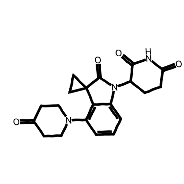 O=C1CCN(c2cccc3c2C2(CC2)C(=O)N3C2CCC(=O)NC2=O)CC1